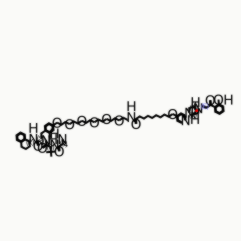 CN[C@@H](C)C(=O)N[C@H](C(=O)N1Cc2cc(OCCOCCOCCOCCOCCOCCNC(=O)CCCCCCCCOc3ccnc(N4C[C@H]5C[C@@H]4CN5/C=C/C(=O)c4ccccc4O)c3)ccc2C[C@H]1C(=O)N[C@@H]1CCCc2ccccc21)C(C)(C)C